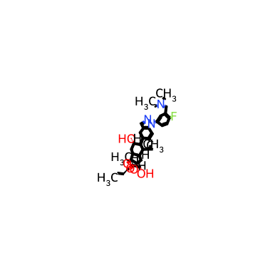 CCC[C@@H]1O[C@@H]2C[C@H]3[C@@H]4CCC5=Cc6c(cnn6-c6ccc(F)c(CN(CC)CC)c6)C[C@]5(C)[C@H]4[C@@H](O)C[C@]3(C)[C@]2(C(=O)CO)O1